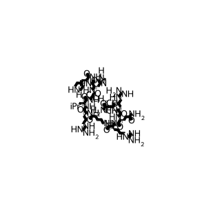 CC(C)C[C@H](NC(=O)[C@H](CCCNC(=N)N)NC(=O)CCCCNC(=O)[C@H](CCCCNC(=N)N)NC(=O)[C@H](CCC(N)=O)NC(=O)[C@@H](CCCNC(=N)N)NC(=O)C(C)(C)C(N)=O)C(=O)NC(C)(C)C(=O)N[C@@H](Cc1c[nH]cn1)C(=O)N[C@@H](CC1CCNCC1)C(N)=O